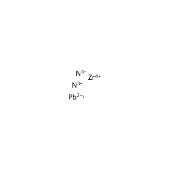 [N-3].[N-3].[Pb+2].[Zr+4]